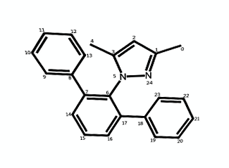 Cc1cc(C)n(-c2c(-c3ccccc3)cccc2-c2ccccc2)n1